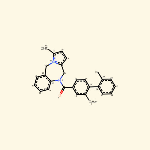 COc1cc(C(=O)N2Cc3ccc(C=O)n3Cc3ccccc32)ccc1-c1ccccc1C